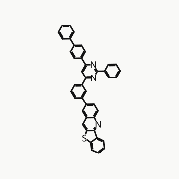 c1ccc(-c2ccc(-c3cc(-c4cccc(-c5ccc6nc7c(cc6c5)sc5ccccc57)c4)nc(-c4ccccc4)n3)cc2)cc1